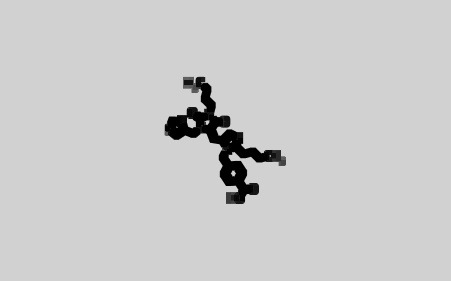 CCCCc1ncc(/C=C2\C(=O)N(CCCC)C(=O)N2Cc2cscn2)n1Cc1ccc(C(=O)O)cc1